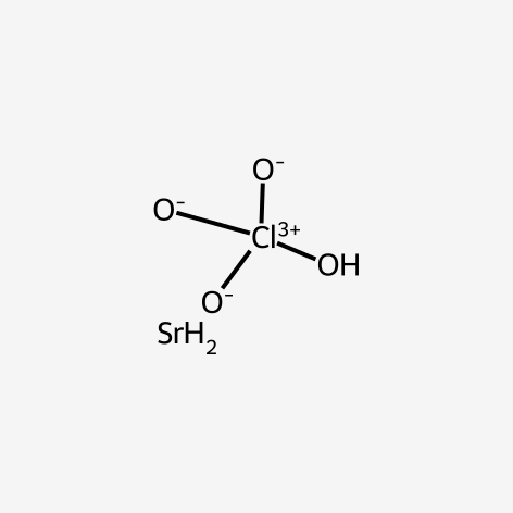 [O-][Cl+3]([O-])([O-])O.[SrH2]